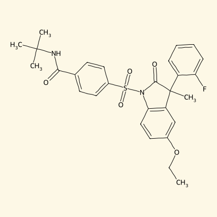 CCOc1ccc2c(c1)C(C)(c1ccccc1F)C(=O)N2S(=O)(=O)c1ccc(C(=O)NC(C)(C)C)cc1